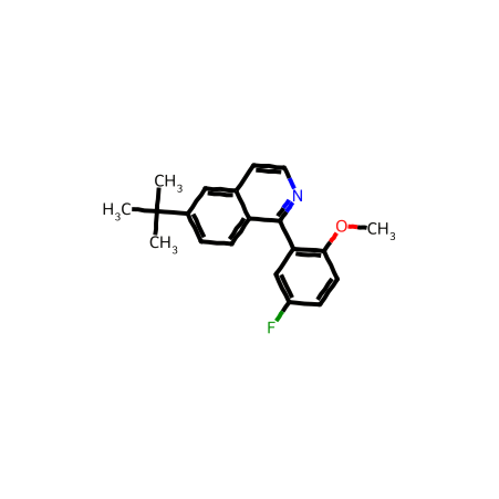 COc1ccc(F)cc1-c1nccc2cc(C(C)(C)C)ccc12